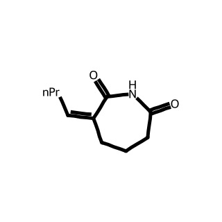 CCCC=C1CCCC(=O)NC1=O